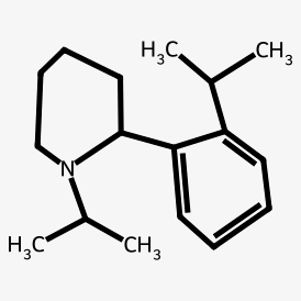 CC(C)c1ccccc1C1CCCCN1C(C)C